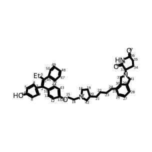 CCC(=C(c1ccc(O)cc1)c1ccc(OCCN2CCC(CCCCc3cccc4c3CN(C3CCC(=O)NC3=O)C4)C2)cc1)c1ccccc1